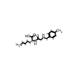 Cc1ccc(CNCC(=O)N[C@@H](CCCCN)C(=O)O)cc1